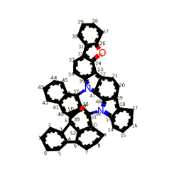 c1ccc2c(c1)-c1cccc3c(-n4c5ccccc5c5ccc6c7c8oc9ccccc9c8ccc7n(-c7cccc8ccccc78)c6c54)ccc-2c13